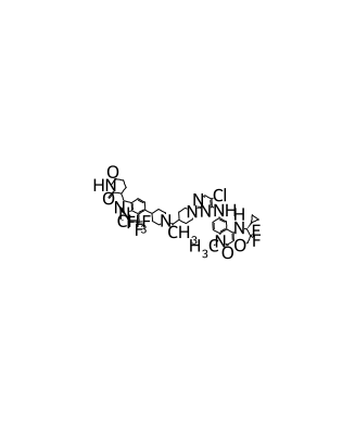 C[C@H](C1CCN(c2ncc(Cl)c(Nc3ccc4c(c3)c3c(c(=O)n4C)OCC(F)(F)[C@H](C4CC4)N3)n2)CC1)N1CCC(c2ccc3c(C4CCC(=O)NC4=O)nn(C)c3c2C(F)(F)F)CC1